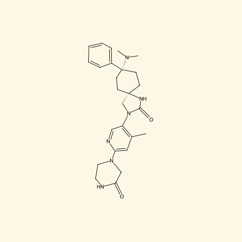 Cc1cc(N2CCNC(=O)C2)ncc1N1C[C@]2(CC[C@@](c3ccccc3)(N(C)C)CC2)NC1=O